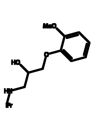 COc1ccccc1OCC(O)CNC(C)C